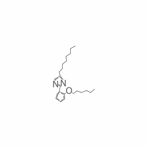 CCCCCCCCc1cnc(-c2ccccc2OCCCCCC)nc1